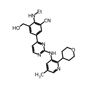 CCNc1c(C#N)cc(-c2ccnc(Nc3cc(C)cnc3C3CCOCC3)n2)cc1CO